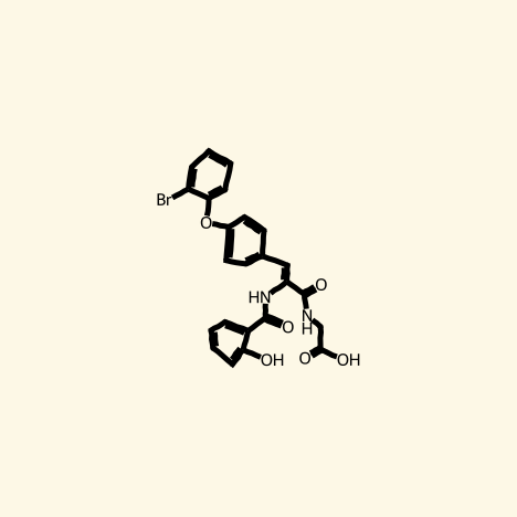 O=C(O)CNC(=O)C(=Cc1ccc(Oc2ccccc2Br)cc1)NC(=O)c1ccccc1O